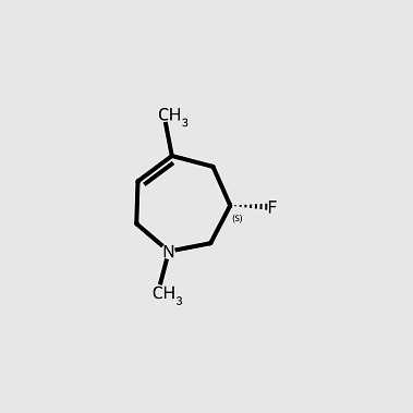 CC1=CCN(C)C[C@@H](F)C1